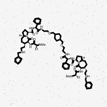 CC[C@H](NC)C(=O)N[C@@H]1C(=O)N2[C@@H](CC[C@@H]1CCNCc1ccccc1)CC[C@H]2C(=O)N[C@H](C(=O)NCCOCC1CCC(COCCNC(=O)[C@@H](NC(=O)[C@@H]2CC[C@@H]3CC[C@H](CCNCc4ccccc4)[C@H](NC(=O)[C@H](CC)NC)C(=O)N32)c2ccccc2)CC1)c1ccccc1